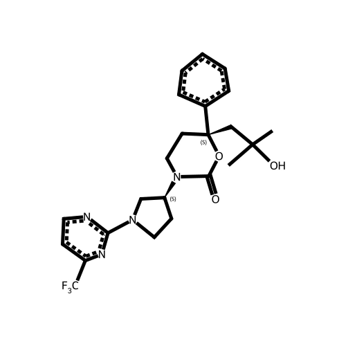 CC(C)(O)C[C@]1(c2ccccc2)CCN([C@H]2CCN(c3nccc(C(F)(F)F)n3)C2)C(=O)O1